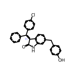 O=C1Nc2cc(Cc3ccc(O)cc3)ccc2/C1=C(/c1ccccc1)c1ccc(Cl)cc1